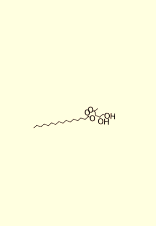 CCCCCCCCCCCCCCCC(=O)OC(C(C)=O)C(O)CO